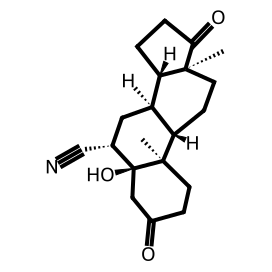 C[C@]12CC[C@H]3[C@@H](C[C@@H](C#N)[C@@]4(O)CC(=O)CC[C@]34C)[C@@H]1CCC2=O